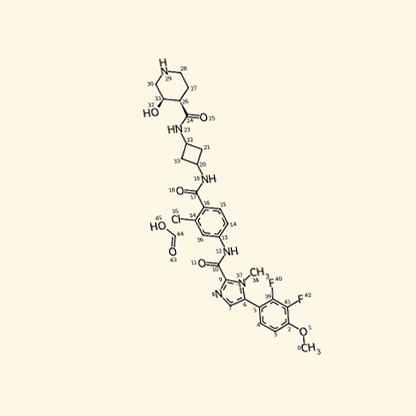 COc1ccc(-c2cnc(C(=O)Nc3ccc(C(=O)NC4CC(NC(=O)[C@@H]5CCNC[C@@H]5O)C4)c(Cl)c3)n2C)c(F)c1F.O=CO